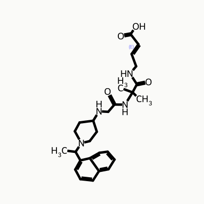 CC(c1cccc2ccccc12)N1CCC(NCC(=O)NC(C)(C)C(=O)NC/C=C/C(=O)O)CC1